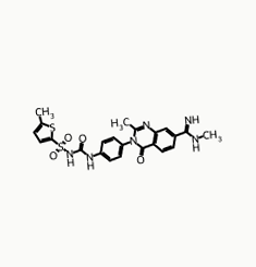 CNC(=N)c1ccc2c(=O)n(-c3ccc(NC(=O)NS(=O)(=O)c4ccc(C)s4)cc3)c(C)nc2c1